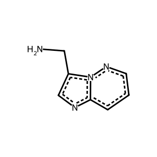 NCc1cnc2cccnn12